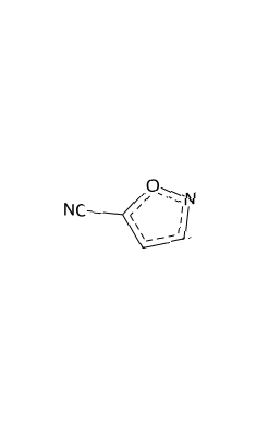 N#Cc1c[c]no1